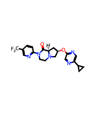 O=C1[C@H]2C[C@@H](Oc3cnc(C4CC4)cn3)CN2CCN1c1ccc(C(F)(F)F)cn1